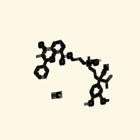 COc1ccc(C(C#N)(CCC[N+](C)([O-])CCCOC(=O)c2cccc3c(=O)c(C)c(-c4ccccc4)oc23)C(C)C)cc1OC.Cl